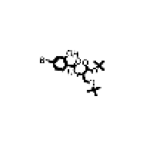 CC(C)(C)OCC(NC(=O)c1ccc(Br)cc1O)C(=O)OC(C)(C)C